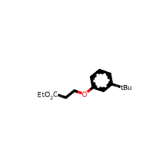 CCOC(=O)CCOc1cccc(C(C)(C)C)c1